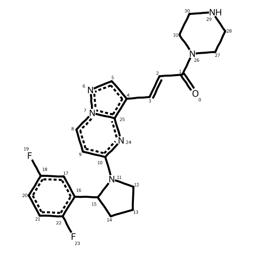 O=C(C=Cc1cnn2ccc(N3CCCC3c3cc(F)ccc3F)nc12)N1CCNCC1